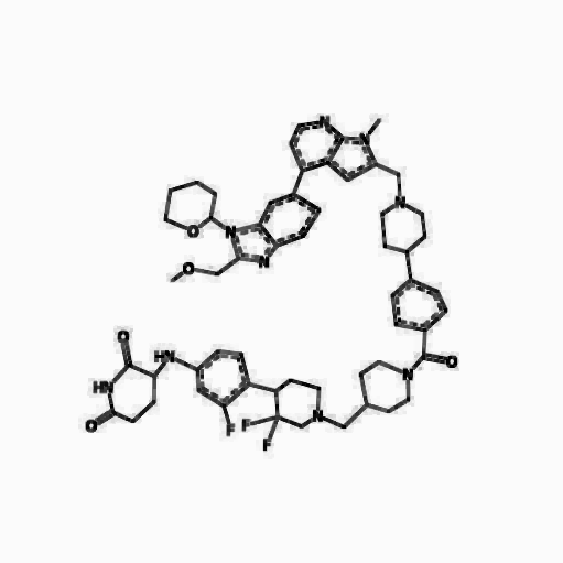 COCc1nc2ccc(-c3ccnc4c3cc(CN3CCC(c5ccc(C(=O)N6CCC(CN7CCC(c8ccc(NC9CCC(=O)NC9=O)cc8F)C(F)(F)C7)CC6)cc5)CC3)n4C)cc2n1C1CCCCO1